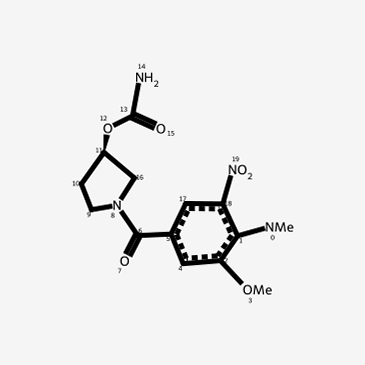 CNc1c(OC)cc(C(=O)N2CC[C@@H](OC(N)=O)C2)cc1[N+](=O)[O-]